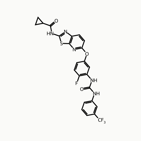 O=C(Nc1cccc(C(F)(F)F)c1)Nc1cc(Oc2ccc3nc(NC(=O)C4CC4)sc3n2)ccc1F